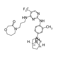 Cc1cc(N2C[C@H]3CC[C@@H](C2)N3C)ccc1Nc1ncc(C(F)(F)F)c(NCCCN2CCCOCC2=O)n1